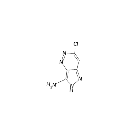 Nc1[nH]nc2cc(Cl)nnc12